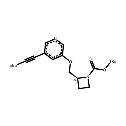 CCCCC#Cc1cncc(OC[C@@H]2CCN2C(=O)OC(C)(C)C)c1